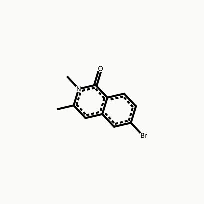 Cc1cc2cc(Br)ccc2c(=O)n1C